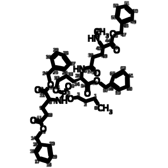 CCCCO[P@@](=O)(NC(CCC(=O)OCc1ccccc1)C(=O)OCc1ccccc1)OCCC[C@@H](NC(=O)CCC(NC)C(=O)OCc1ccccc1)C(=O)OCc1ccccc1